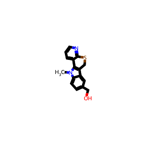 Cn1c2c(c3cc(CO)ccc31)CSc1ncccc1-2